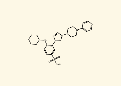 CNS(=O)(=O)c1ccc(NC2CCCCC2)c(-c2nnn(C3CCN(c4ccccc4)CC3)n2)c1